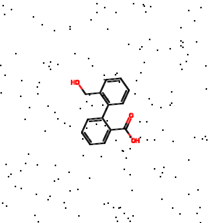 O=C(O)c1ccccc1-c1ccc[c]c1CO